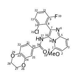 COc1cccc2nc(-c3c(F)cccc3Cl)c(NC(=O)c3ccc4c(c3)OCCO4)n12